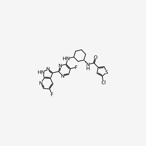 O=C(N[C@@H]1CCCC(Nc2nc(-c3n[nH]c4ncc(F)cc34)ncc2F)C1)c1csc(Cl)c1